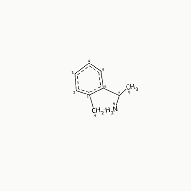 [CH2]c1ccccc1C(C)N